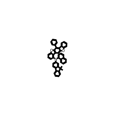 CC1(C)c2ccccc2-c2ccc(N(c3cccc4ccccc34)c3cccc4oc5c(-c6ccccc6)c6c(cc5c34)oc3ccccc36)cc21